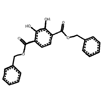 O=C(OCc1ccccc1)c1ccc(C(=O)OCc2ccccc2)c(O)c1O